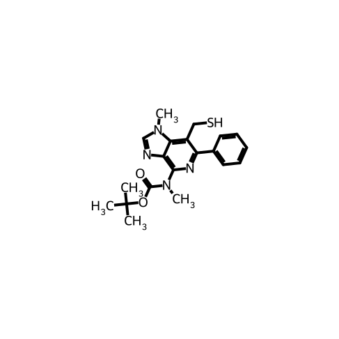 CN(C(=O)OC(C)(C)C)c1nc(-c2ccccc2)c(CS)c2c1ncn2C